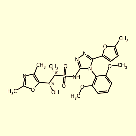 COc1cccc(OC)c1-n1c(NS(=O)(=O)[C@@H](C)[C@H](O)c2oc(C)nc2C)nnc1-c1ccc(C)o1